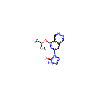 CC(Oc1nc(-n2nc[nH]c2=O)cc2cnncc12)C(F)(F)F